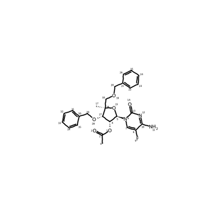 CC(=O)O[C@H]1[C@H](n2cc(F)c(N)nc2=O)O[C@](C)(COCc2ccccc2)[C@H]1OCc1ccccc1